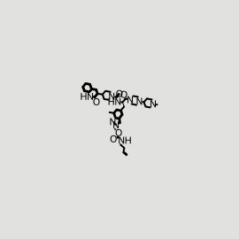 C=CCCNC(=O)OCn1cc2cc(C[C@@H](NC(=O)N3CCC(c4cc5ccccc5[nH]c4=O)CC3)C(=O)N3CCN(C4CCN(C)CC4)CC3)cc(C)c2n1